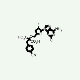 N#Cc1ccc(CC(OCC2CC(F)C(n3cnc4c(N)nc(Cl)nc43)O2)(C(=O)O)C(=O)O)cc1